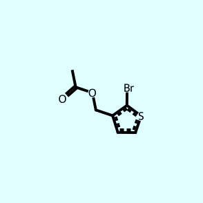 CC(=O)OCc1ccsc1Br